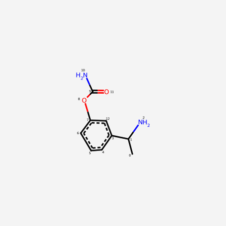 CC(N)c1cccc(OC(N)=O)c1